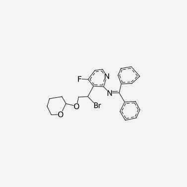 Fc1ccnc(N=C(c2ccccc2)c2ccccc2)c1C(Br)COC1CCCCO1